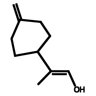 C=C1CCC(C(C)=CO)CC1